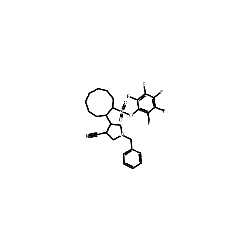 N#CC1CN(Cc2ccccc2)CC1C1CCCCCCCC1S(=O)(=O)Oc1c(F)c(F)c(F)c(F)c1F